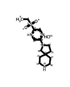 CCS(=O)(=O)c1cnc(N2CCC3(CCNCC3)C2)cn1.Cl